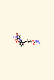 NC(=O)OCCCCC#Cc1cccc2c1CN(C1CCC(=O)NC1=O)C2=O